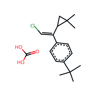 CC(C)(C)c1ccc(C(=CCl)C2CC2(C)C)cc1.O=C(O)O